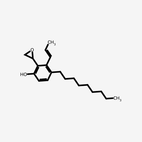 CC=Cc1c(CCCCCCCCC)ccc(O)c1C1CO1